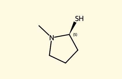 CN1CCC[C@@H]1S